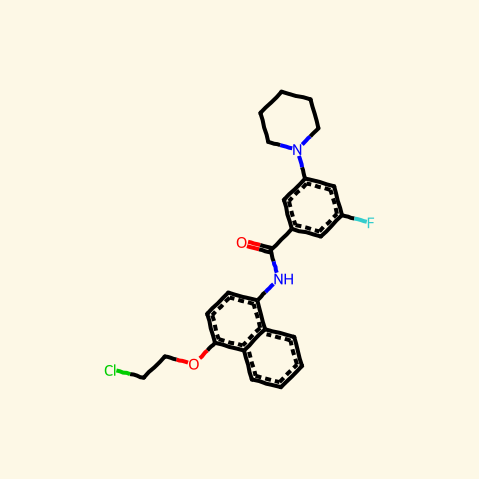 O=C(Nc1ccc(OCCCl)c2ccccc12)c1cc(F)cc(N2CCCCC2)c1